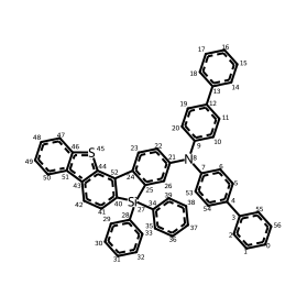 c1ccc(-c2ccc(N(c3ccc(-c4ccccc4)cc3)c3ccc4c(c3)[Si](c3ccccc3)(c3ccccc3)c3ccc5c(sc6ccccc65)c3-4)cc2)cc1